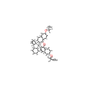 CC(C)(C)[Si](C)(C)Oc1ccc2c3c(ccc2c1)C1(c2ccccc2-c2ccccc21)c1ccc2cc(O[Si](C)(C)C(C)(C)C)ccc2c1O3